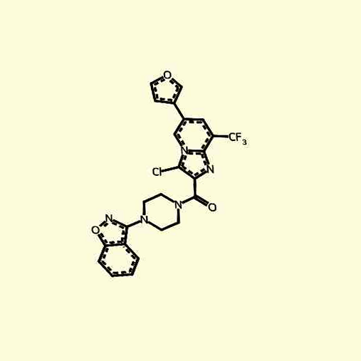 O=C(c1nc2c(C(F)(F)F)cc(-c3ccoc3)cn2c1Cl)N1CCN(c2noc3ccccc23)CC1